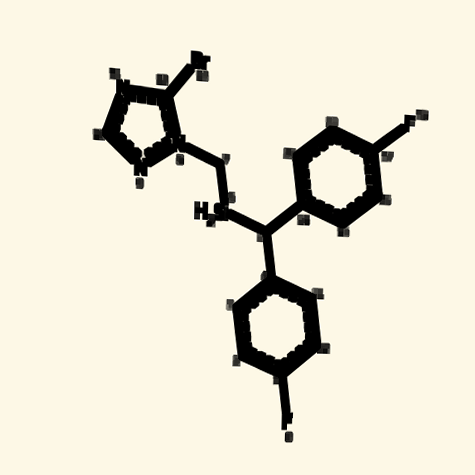 Fc1ccc(C([SiH2]Cn2ncnc2Br)c2ccc(F)cc2)cc1